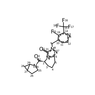 O=C([C@@H]1CCCc2nn(Cc3ccnc(C(F)(F)F)c3F)c(=O)n21)N1CCC2CC21